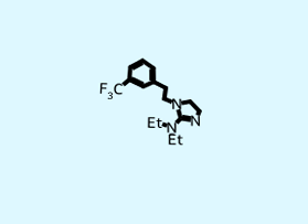 CCN(CC)C1=NCCN1CCc1cccc(C(F)(F)F)c1